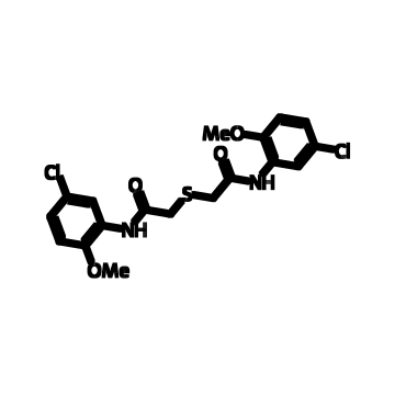 COc1ccc(Cl)cc1NC(=O)CSCC(=O)Nc1cc(Cl)ccc1OC